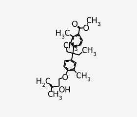 C=C(C)C(O)COc1ccc(C(CC)(CC)c2ccc(C(=O)OC)c(C)c2)cc1C